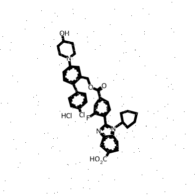 Cl.O=C(O)c1ccc2c(c1)nc(-c1ccc(C(=O)OCc3cc(N4CCC(O)CC4)ccc3-c3ccc(Cl)cc3)cc1F)n2C1CCCCC1